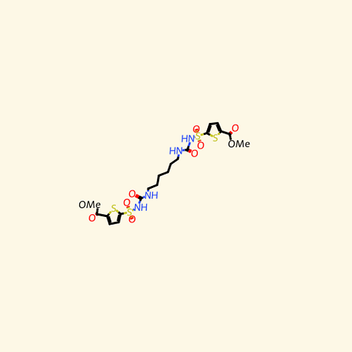 COC(=O)c1ccc(S(=O)(=O)NC(=O)NCCCCCCNC(=O)NS(=O)(=O)c2ccc(C(=O)OC)s2)s1